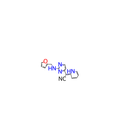 N#C/C(=C1\C=CC=CN1)c1ccnc(NCc2ccco2)n1